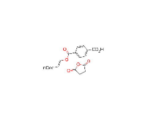 CCCCCCCCCCC=COC(=O)c1ccc(C(=O)O)cc1.O=C1CCC(=O)O1